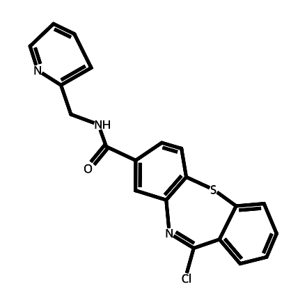 O=C(NCc1ccccn1)c1ccc2c(c1)N=C(Cl)c1ccccc1S2